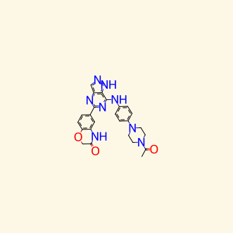 CC(=O)N1CCN(c2ccc(Nc3nc(-c4ccc5c(c4)NC(=O)CO5)nc4cn[nH]c34)cc2)CC1